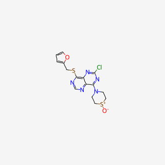 [O-][S+]1CCN(c2nc(Cl)nc3c(SCc4ccco4)ncnc23)CC1